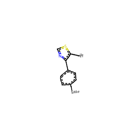 CSc1ccc(-c2ncsc2C(C)C)cc1